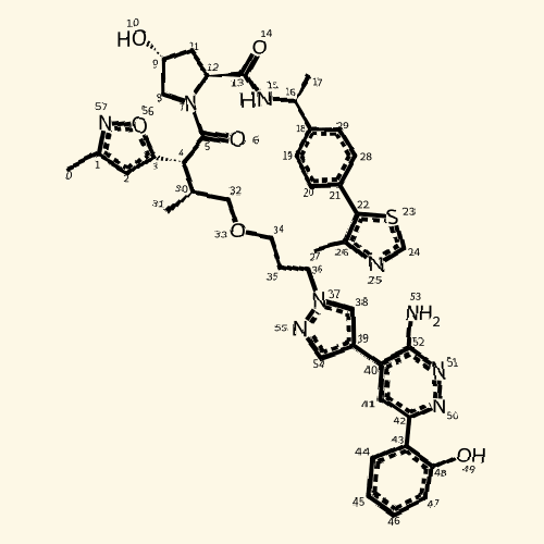 Cc1cc([C@H](C(=O)N2C[C@H](O)C[C@H]2C(=O)N[C@@H](C)c2ccc(-c3scnc3C)cc2)[C@H](C)COCCCn2cc(-c3cc(-c4ccccc4O)nnc3N)cn2)on1